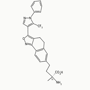 C[C@](N)(CCc1ccc2c(c1)CCc1c-2noc1-c1cnn(-c2ccccc2)c1C(F)(F)F)C(=O)O